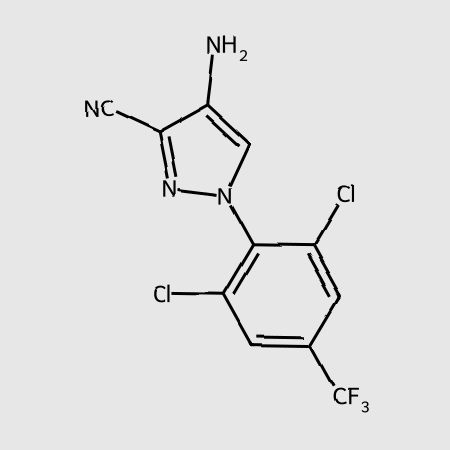 N#Cc1nn(-c2c(Cl)cc(C(F)(F)F)cc2Cl)cc1N